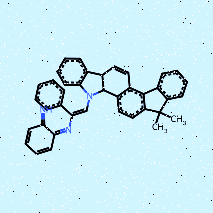 CC1(C)c2ccccc2-c2c1ccc1c2C=CC2c3ccccc3N(/C=C(/N=C3/C=CC=CC3=N)c3ccccc3)C12